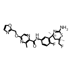 Cc1nc(OCc2ncco2)cnc1C(=O)Nc1ccc(F)c([C@]2(C)C[C@](C)(CF)SC(N)=N2)c1